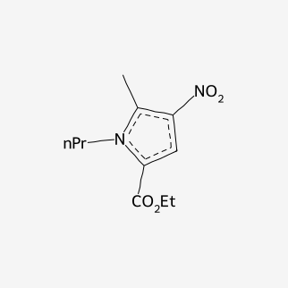 CCCn1c(C(=O)OCC)cc([N+](=O)[O-])c1C